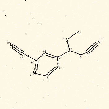 CSC(CC#N)c1ccnc(C#N)c1